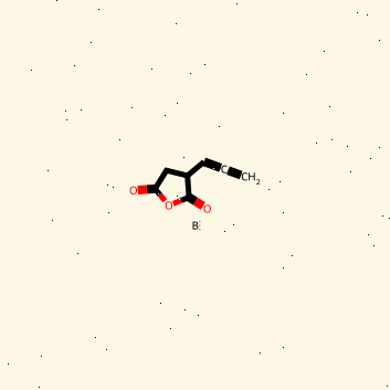 C=C=CC1CC(=O)OC1=O.[B]